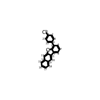 Clc1ccc(-c2cccc3c2oc2cc4ccccc4cc23)cc1